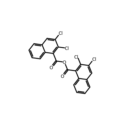 O=C(OC(=O)c1c(Cl)c(Cl)cc2ccccc12)c1c(Cl)c(Cl)cc2ccccc12